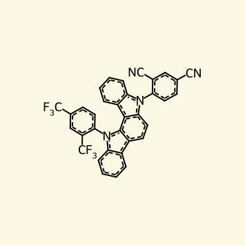 N#Cc1ccc(-n2c3ccccc3c3c2ccc2c4ccccc4n(-c4ccc(C(F)(F)F)cc4C(F)(F)F)c23)c(C#N)c1